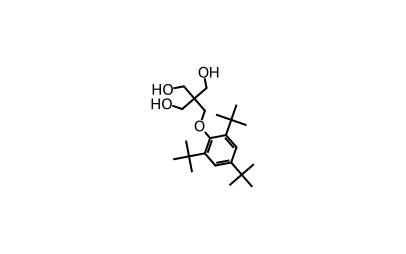 CC(C)(C)c1cc(C(C)(C)C)c(OCC(CO)(CO)CO)c(C(C)(C)C)c1